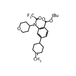 CN1CCC(c2ccc(C(=O)OC(C)(C)C)c(N(C(=O)C(F)(F)F)C3CCOCC3)c2)CC1